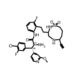 C#CC1CCCS(=O)(=O)NC(CCc2c(F)cccc2NC(=O)[C@@H](N)[C@H](c2ccnc(OC)c2)c2ccc(Cl)c(F)c2)CN1